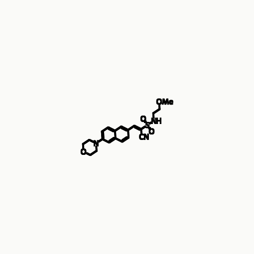 COCCNS(=O)(=O)/C(C#N)=C/c1ccc2cc(N3CCOCC3)ccc2c1